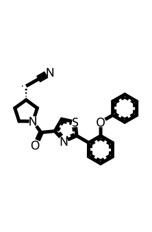 N#C[CH][C@H]1CCN(C(=O)c2csc(-c3ccccc3Oc3ccccc3)n2)C1